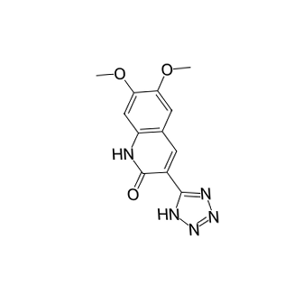 COc1cc2cc(-c3nnn[nH]3)c(=O)[nH]c2cc1OC